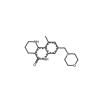 Cc1cc(CN2CCOCC2)cc2[nH]c(=O)c3c(c12)NCCC3